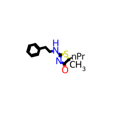 CCC[C@]1(C)SC(NCCc2ccccc2)=NC1=O